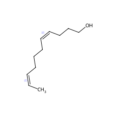 C/C=C\CCC/C=C\CCCO